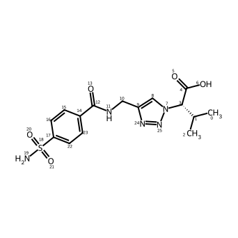 CC(C)[C@@H](C(=O)O)n1cc(CNC(=O)c2ccc(S(N)(=O)=O)cc2)nn1